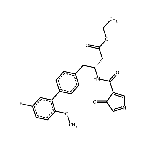 CCOC(=O)C[C@@H](Cc1ccc(-c2cc(F)ccc2OC)cc1)NC(=O)C1=CN=CC1=O